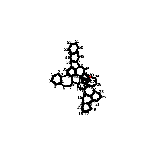 c1ccc2c(c1)CCC(c1nc(-c3cc4ccccc4c4ccccc34)c3ccccc3n1)c1c-2cc2c3c1-c1ccccc1CC3c1cc3ccccc3cc1-2